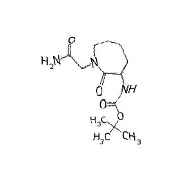 CC(C)(C)OC(=O)NC1CCCCN(CC(N)=O)C1=O